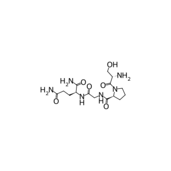 NC(=O)CC[C@H](NC(=O)CNC(=O)[C@@H]1CCCN1C(=O)[C@@H](N)CO)C(N)=O